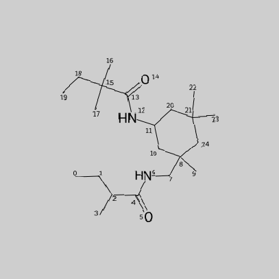 CCC(C)C(=O)NCC1(C)CC(NC(=O)C(C)(C)CC)CC(C)(C)C1